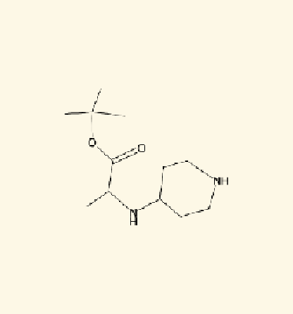 CC(NC1CCNCC1)C(=O)OC(C)(C)C